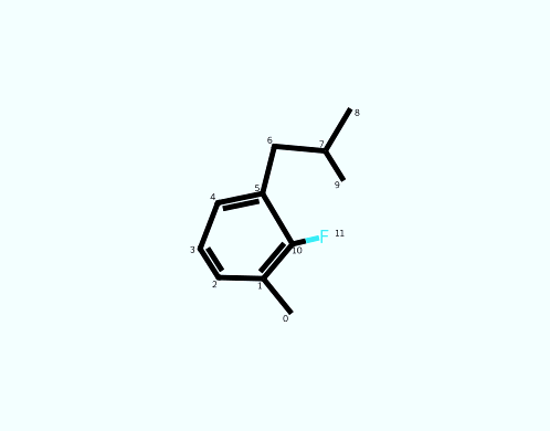 Cc1cccc(CC(C)C)c1F